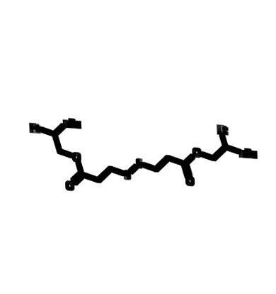 CCCCC(CC)COC(=O)CCSSCCC(=O)OCC(CC)CCCC